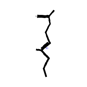 [C]=C(C)CC/C=C(\C)CCC